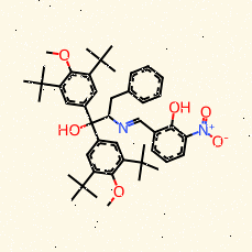 COc1c(C(C)(C)C)cc(C(O)(c2cc(C(C)(C)C)c(OC)c(C(C)(C)C)c2)C(Cc2ccccc2)N=Cc2cccc([N+](=O)[O-])c2O)cc1C(C)(C)C